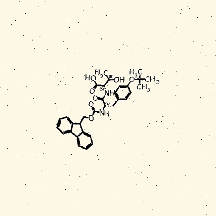 C[C@@H](O)[C@H](NC(=O)[C@H](Cc1ccc(OC(C)(C)C)cc1)NC(=O)OCC1c2ccccc2-c2ccccc21)C(=O)O